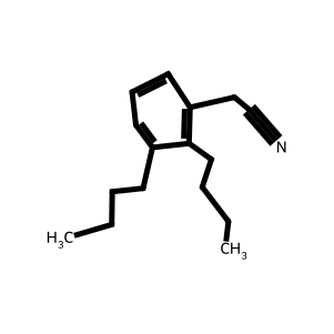 CCCCc1cccc(CC#N)c1CCCC